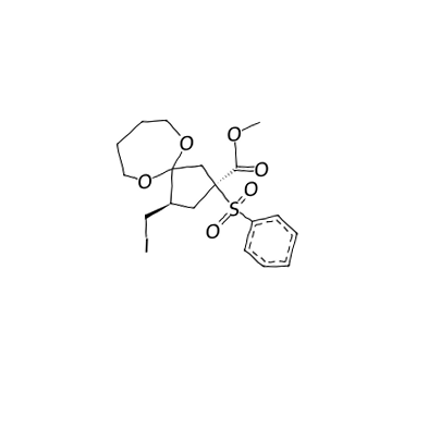 COC(=O)[C@]1(S(=O)(=O)c2ccccc2)C[C@@H](CI)C2(C1)OCCCCO2